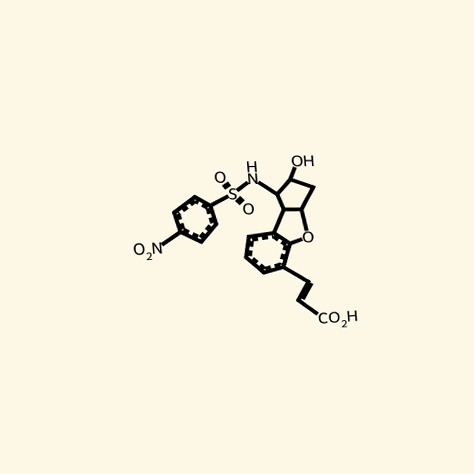 O=C(O)C=Cc1cccc2c1OC1CC(O)C(NS(=O)(=O)c3ccc([N+](=O)[O-])cc3)C21